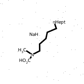 CCCCCCCCCCCCN(C)C(=O)O.[NaH]